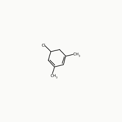 CC1=CC(Cl)CC(C)=C1